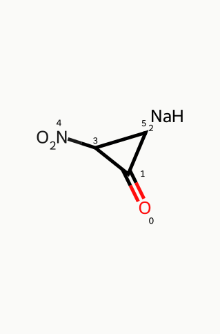 O=C1CC1[N+](=O)[O-].[NaH]